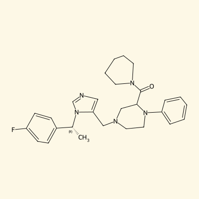 C[C@H](c1ccc(F)cc1)n1cncc1CN1CCN(c2ccccc2)C(C(=O)N2CCCCC2)C1